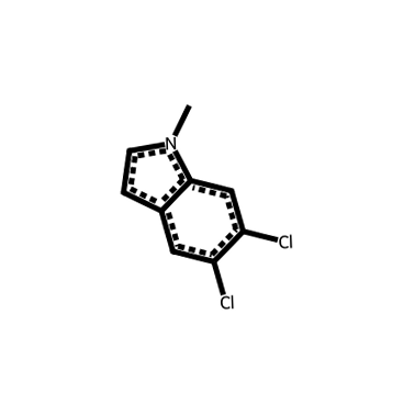 Cn1ccc2cc(Cl)c(Cl)cc21